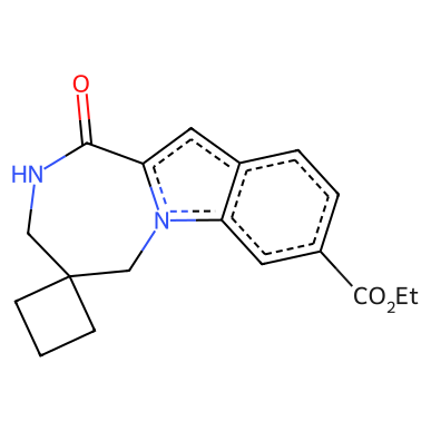 CCOC(=O)c1ccc2cc3n(c2c1)CC1(CCC1)CNC3=O